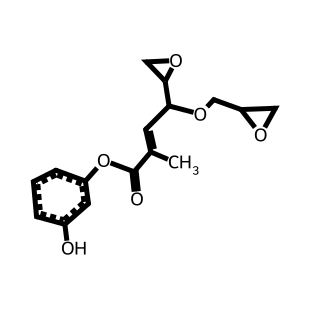 CC(=CC(OCC1CO1)C1CO1)C(=O)Oc1cccc(O)c1